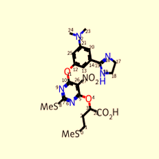 CSCCC(Oc1nc(SC)nc(Oc2cc(C3=NCCN3)cc(N(C)C)c2)c1[N+](=O)[O-])C(=O)O